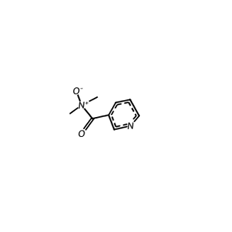 C[N+](C)([O-])C(=O)c1cccnc1